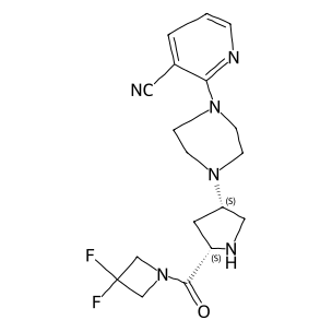 N#Cc1cccnc1N1CCN([C@@H]2CN[C@H](C(=O)N3CC(F)(F)C3)C2)CC1